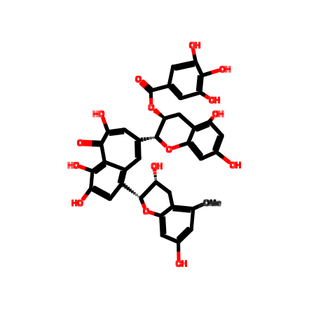 COc1cc(O)cc2c1C[C@@H](O)[C@@H](c1cc(O)c(O)c3c(=O)c(O)cc([C@H]4Oc5cc(O)cc(O)c5C[C@@H]4OC(=O)c4cc(O)c(O)c(O)c4)cc13)O2